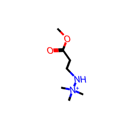 COC(=O)CCN[N+](C)(C)C